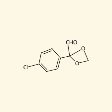 O=CC1(c2ccc(Cl)cc2)OCO1